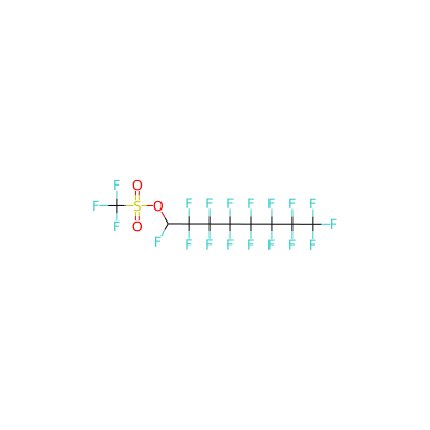 O=S(=O)(OC(F)C(F)(F)C(F)(F)C(F)(F)C(F)(F)C(F)(F)C(F)(F)C(F)(F)F)C(F)(F)F